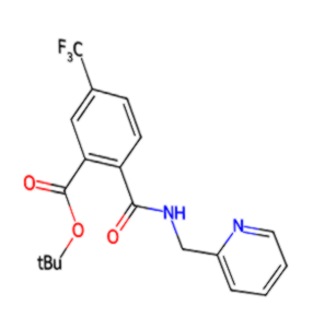 CC(C)(C)OC(=O)c1cc(C(F)(F)F)ccc1C(=O)NCc1ccccn1